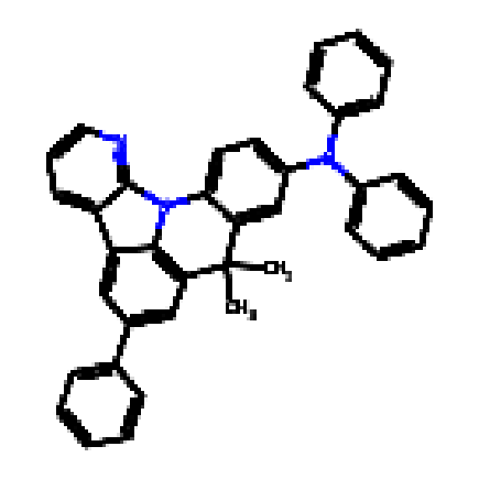 CC1(C)c2cc(N(c3ccccc3)c3ccccc3)ccc2-n2c3ncccc3c3cc(-c4ccccc4)cc1c32